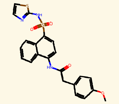 COc1ccc(CC(=O)Nc2ccc(S(=O)(=O)Nc3nccs3)c3ccccc23)cc1